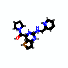 O=C(c1nc(NCc2ccccn2)nc2ccsc12)N1CCCC1